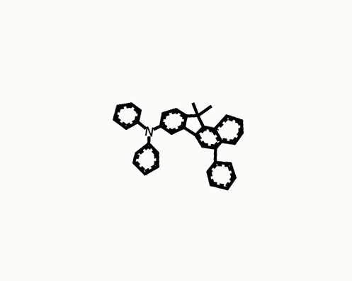 CC1(C)c2ccc(N(c3ccccc3)c3ccccc3)cc2-c2cc(-c3ccccc3)c3ccccc3c21